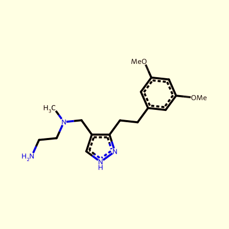 COc1cc(CCc2n[nH]cc2CN(C)CCN)cc(OC)c1